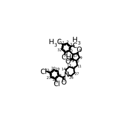 Cc1cc(C)c(C2C(=O)CC(CC3CCN(C(=O)c4ccc(Cl)cc4Cl)CC3)C2=O)c(C)c1